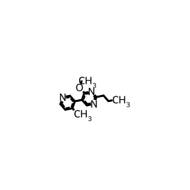 CCCc1ncc(-c2cnccc2C)c(OC)n1